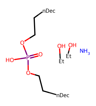 CCCCCCCCCCCCOP(=O)(O)OCCCCCCCCCCCC.CCO.CCO.N